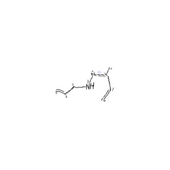 C=CCN/N=C(/C)C=C